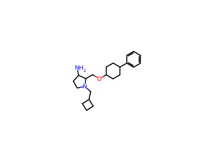 NC1CCN(CC2CCC2)C1COC1CCC(c2ccccc2)CC1